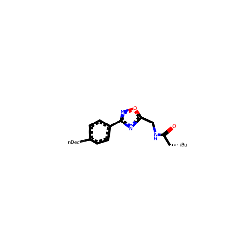 CCCCCCCCCCc1ccc(-c2noc(CNC(=O)C[C@@H](C)CC)n2)cc1